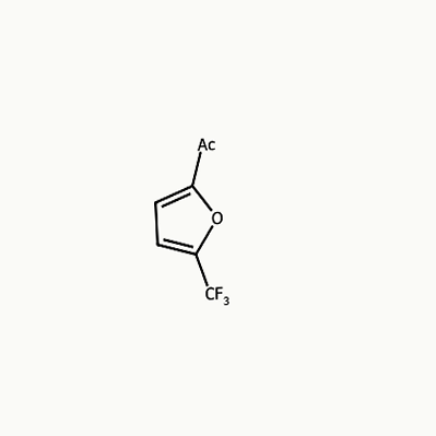 CC(=O)c1ccc(C(F)(F)F)o1